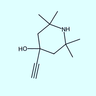 C#CC1(O)CC(C)(C)NC(C)(C)C1